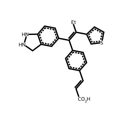 CC/C(=C(/c1ccc(/C=C/C(=O)O)cc1)c1ccc2c(c1)CNN2)c1ccsc1